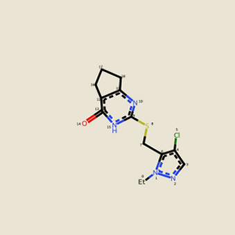 CCn1ncc(Cl)c1CSc1nc2c(c(=O)[nH]1)CCC2